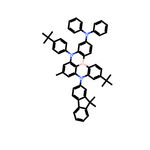 Cc1cc2c3c(c1)N(c1ccc4c(c1)C(C)(C)c1ccccc1-4)c1cc(C(C)(C)C)ccc1B3c1ccc(N(c3ccccc3)c3ccccc3)cc1N2c1ccc(C(C)(C)C)cc1